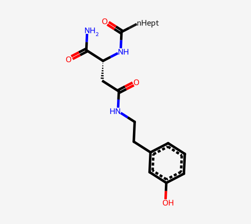 CCCCCCCC(=O)N[C@H](CC(=O)NCCc1cccc(O)c1)C(N)=O